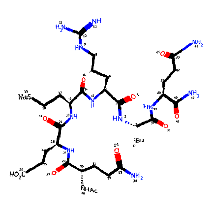 CC[C@H](C)[C@H](NC(=O)[C@H](CCCNC(=N)N)NC(=O)[C@H](CCSC)NC(=O)[C@H](CCC(=O)O)NC(=O)[C@H](CCC(N)=O)NC(C)=O)C(=O)N[C@@H](CCC(N)=O)C(N)=O